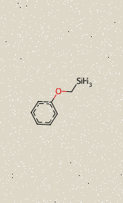 [SiH3]COc1ccccc1